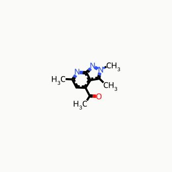 CC(=O)c1cc(C)nc2nn(C)c(C)c12